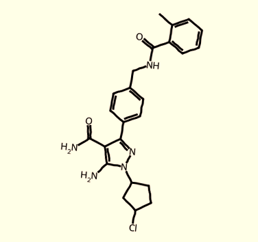 Cc1ccccc1C(=O)NCc1ccc(-c2nn(C3CCC(Cl)C3)c(N)c2C(N)=O)cc1